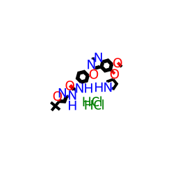 COc1cc2ncnc(Oc3cccc(NC(=O)Nc4cc(C(C)(C)C)on4)c3)c2cc1OC1CCNC1.Cl.Cl